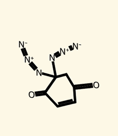 [N-]=[N+]=NC1(N=[N+]=[N-])CC(=O)C=CC1=O